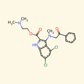 CN(C)CCOC(=O)c1[nH]c2cc(Cl)cc(Cl)c2c1N(C)CC(=O)c1ccccc1